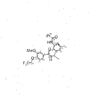 COc1cc(C(=O)NC(C)c2cc(C)nc(NC(=O)C(C)C)c2)ccc1OCC(F)(F)F